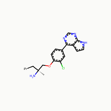 CC(C)C[C@](C)(N)COc1ccc(-c2ncnc3[nH]ccc23)cc1Cl